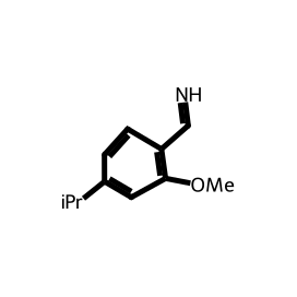 COc1cc(C(C)C)ccc1C=N